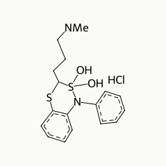 CNCCCC1Sc2ccccc2N(c2ccccc2)S1(O)O.Cl